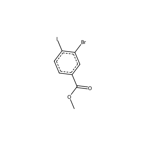 COC(=O)c1ccc(I)c(Br)c1